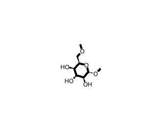 COC[C@H]1O[C@H](OC)[C@@H](O)[C@@H](O)[C@H]1O